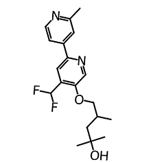 Cc1cc(-c2cc(C(F)F)c(OCC(C)CC(C)(C)O)cn2)ccn1